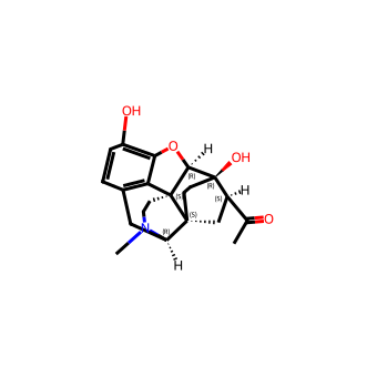 CC(=O)[C@H]1C[C@@]23CC[C@]1(O)[C@@H]1Oc4c(O)ccc5c4[C@@]12CCN(C)[C@@H]3C5